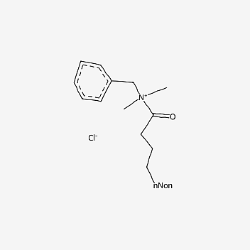 CCCCCCCCCCCCC(=O)[N+](C)(C)Cc1ccccc1.[Cl-]